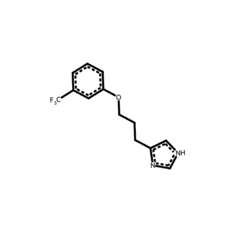 FC(F)(F)c1cccc(OCCCc2c[nH]cn2)c1